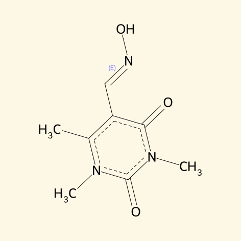 Cc1c(/C=N/O)c(=O)n(C)c(=O)n1C